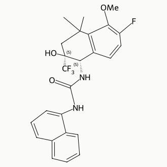 COc1c(F)ccc2c1C(C)(C)C[C@@](O)(C(F)(F)F)[C@H]2NC(=O)Nc1cccc2ccccc12